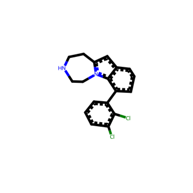 Clc1cccc(-c2cccc3cc4n(c23)CCNCC4)c1Cl